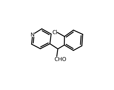 O=CC(c1ccncc1)c1ccccc1Cl